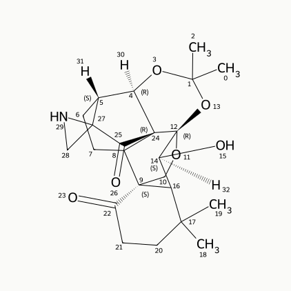 CC1(C)O[C@@H]2[C@H]3CCC4[C@@]56CO[C@](O1)([C@@H](O)C5C(C)(C)CCC6=O)[C@]42C(=O)C31CN1